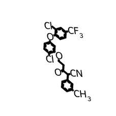 Cc1cccc(C(C#N)C(=O)CCOc2cc(Oc3ccc(C(F)(F)F)cc3Cl)ccc2Cl)c1